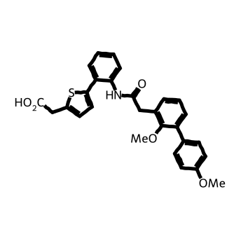 COc1ccc(-c2cccc(CC(=O)Nc3ccccc3-c3ccc(CC(=O)O)s3)c2OC)cc1